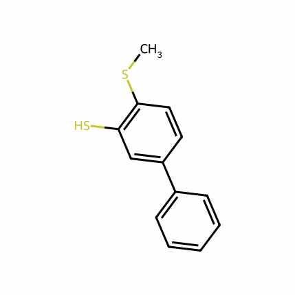 CSc1ccc(-c2ccccc2)cc1S